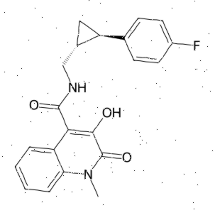 Cn1c(=O)c(O)c(C(=O)NC[C@@H]2C[C@H]2c2ccc(F)cc2)c2ccccc21